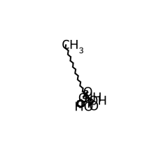 CCCCCCCCCCCCCCCCS(=O)(=O)NC(c1ccccc1)P(=O)(O)O